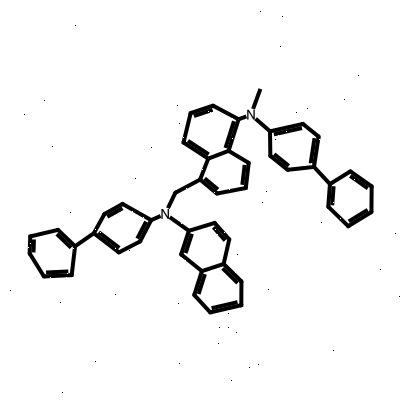 CN(c1ccc(-c2ccccc2)cc1)c1cccc2c(CN(c3ccc(-c4ccccc4)cc3)c3ccc4ccccc4c3)cccc12